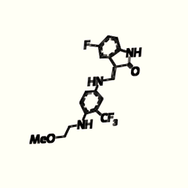 COCCNc1ccc(N/C=C2/C(=O)Nc3ccc(F)cc32)cc1C(F)(F)F